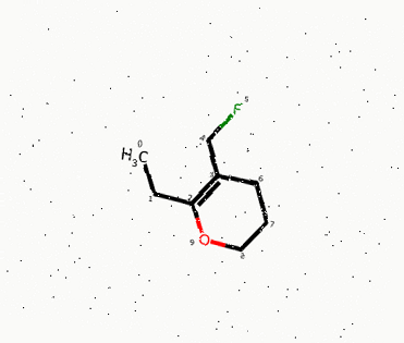 CCC1=C(CF)CCCO1